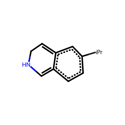 CC(C)c1ccc2c(c1)=CCNC=2